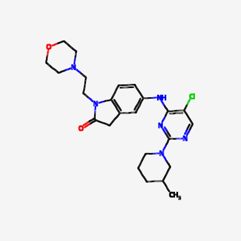 CC1CCCN(c2ncc(Cl)c(Nc3ccc4c(c3)CC(=O)N4CCN3CCOCC3)n2)C1